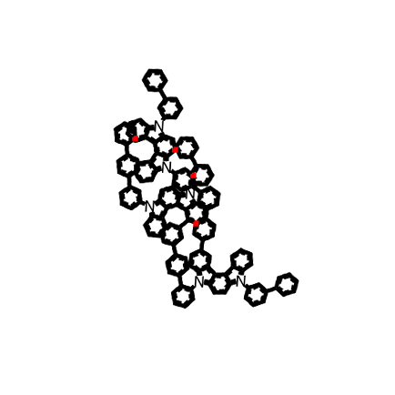 c1ccc(-c2ccc(-c3cccc(-n4c5ccccc5c5c6c7c(-c8cccc(-c9ccc(-c%10ccccc%10-n%10c%11ccc(-c%12ccc(-c%13cccc(-c%14ccc(-n%15c%16ccccc%16c%16c%17c%18ccccc%18n(-c%18cccc(-c%19ccccc%19)c%18)c%17ccc%16%15)cc%14)c%13)cc%12)cc%11c%11c%12c%13ccccc%13n(-c%13cccc(-c%14ccccc%14)c%13)c%12ccc%11%10)cc9)c8)cccc7n(-c7cccc(-c8ccccc8)c7)c6ccc54)c3)cc2)cc1